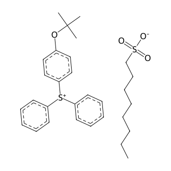 CC(C)(C)Oc1ccc([S+](c2ccccc2)c2ccccc2)cc1.CCCCCCCCS(=O)(=O)[O-]